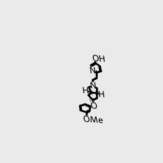 COc1cccc(O[C@H]2C[C@@H]3CN(CCc4ccc(O)cn4)C[C@@H]3C2)c1